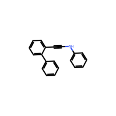 C(#Cc1ccccc1-c1ccccc1)Nc1ccccc1